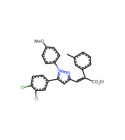 CCOC(=O)/C(=C/c1cc(-c2ccc(Cl)c(Cl)c2)n(-c2ccc(OC)cc2)n1)c1cccc(C)c1